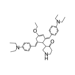 CCOC1=CC(=Cc2ccc(N(CC)CC)cc2)C(C2CNCCC2=O)C(=Cc2ccc(N(CC)CC)cc2)C1